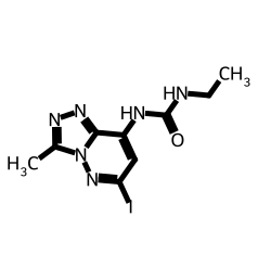 CCNC(=O)Nc1cc(I)nn2c(C)nnc12